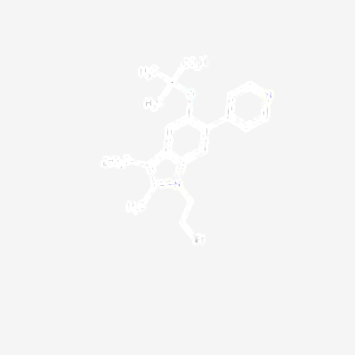 CCOC(=O)c1c(C)n(CCC(C)C)c2cc(-c3ccncc3)c(OC(C)(C)C(=O)O)cc12